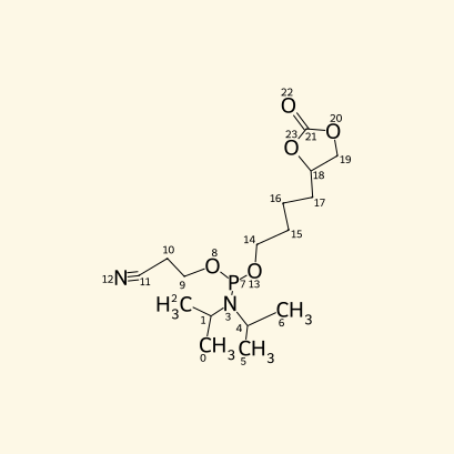 CC(C)N(C(C)C)P(OCCC#N)OCCCCC1COC(=O)O1